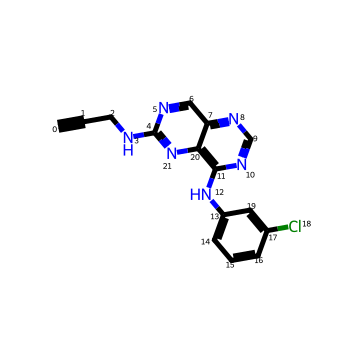 C#CCNc1ncc2ncnc(Nc3cccc(Cl)c3)c2n1